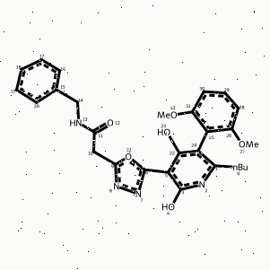 CCCCc1nc(O)c(-c2nnc(CC(=O)NCc3ccccc3)o2)c(O)c1-c1c(OC)cccc1OC